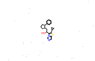 OC(CC1CCCC1c1ccccc1)c1c(C2CC2)sc2cncn12